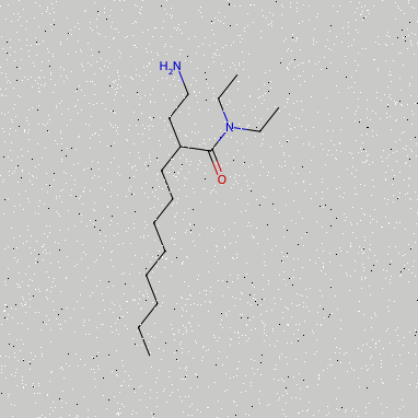 CCCCCCCCC(CCN)C(=O)N(CC)CC